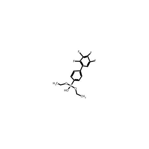 CCO[Si](O)(OCC)c1ccc(-c2cc(F)c(F)c(F)c2F)cc1